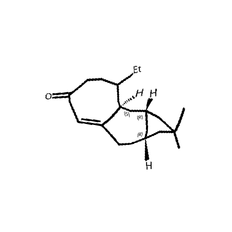 CCC1CC(=O)C=C2C[C@@H]3[C@H]([C@@H]21)C3(C)C